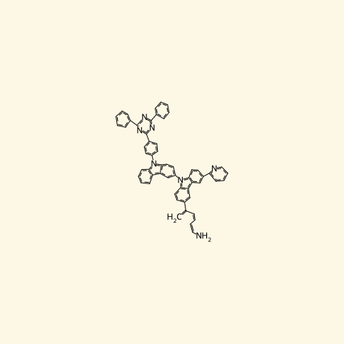 C=C(/C=C\C=C/N)c1ccc2c(c1)c1cc(-c3ccccn3)ccc1n2-c1ccc2c(c1)c1ccccc1n2-c1ccc(-c2nc(-c3ccccc3)nc(-c3ccccc3)n2)cc1